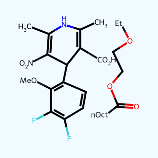 CCCCCCCCC(=O)OCCOCC.COc1c(C2C(C(=O)O)=C(C)NC(C)=C2[N+](=O)[O-])ccc(F)c1F